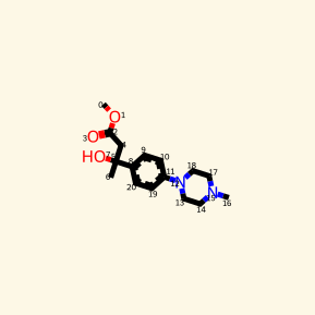 COC(=O)CC(C)(O)c1ccc(N2CCN(C)CC2)cc1